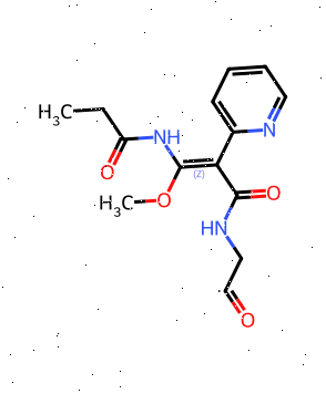 CCC(=O)N/C(OC)=C(/C(=O)NC[C]=O)c1ccccn1